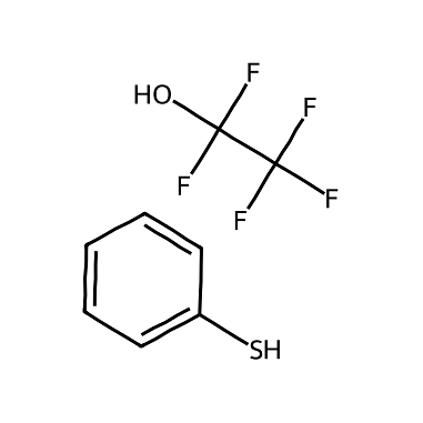 OC(F)(F)C(F)(F)F.Sc1ccccc1